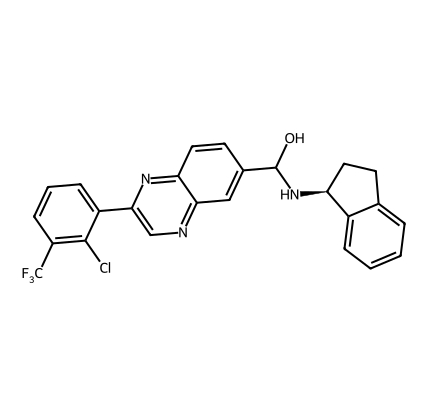 OC(N[C@H]1CCc2ccccc21)c1ccc2nc(-c3cccc(C(F)(F)F)c3Cl)cnc2c1